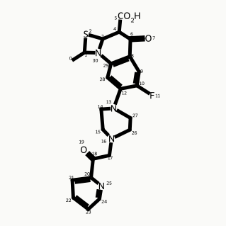 CC1SC2C(C(=O)O)C(=O)c3cc(F)c(N4CCN(CC(=O)c5ccccn5)CC4)cc3N12